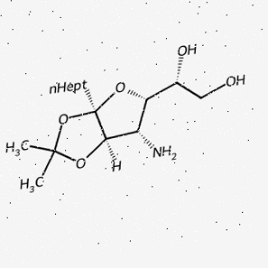 CCCCCCC[C@]12O[C@H]([C@H](O)CO)[C@H](N)[C@H]1OC(C)(C)O2